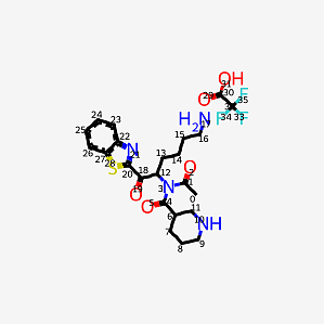 CC(=O)N(C(=O)C1CCCNC1)C(CCCCN)C(=O)c1nc2ccccc2s1.O=C(O)C(F)(F)F